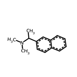 CC(c1ccc2ccccc2c1)N(C)C